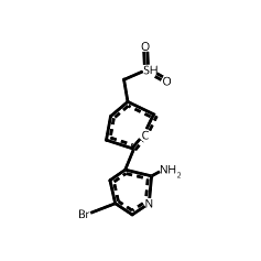 Nc1ncc(Br)cc1-c1ccc(C[SH](=O)=O)cc1